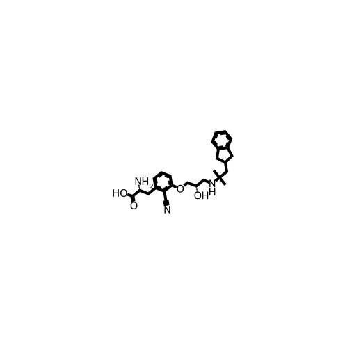 CC(C)(CC1Cc2ccccc2C1)NC[C@H](O)COc1cccc(C[C@@H](N)C(=O)O)c1C#N